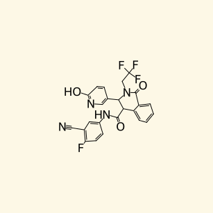 N#Cc1cc(NC(=O)C2c3ccccc3C(=O)N(CC(F)(F)F)C2c2ccc(O)nc2)ccc1F